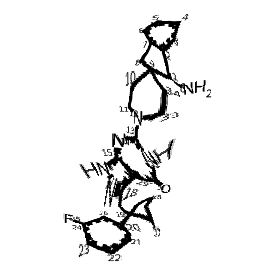 N[C@@H]1c2ccccc2CC12CCN(c1nc3[nH]nc(C4(c5cccc(F)c5)CC4)c3c(=O)[nH]1)CC2